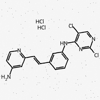 Cl.Cl.Nc1ccnc(C=Cc2cccc(Nc3nc(Cl)ncc3Cl)c2)c1